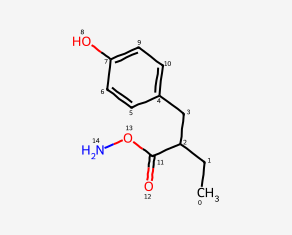 CCC(Cc1ccc(O)cc1)C(=O)ON